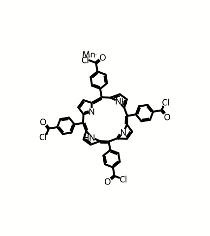 O=C(Cl)c1ccc(-c2c3nc(c(-c4ccc(C(=O)Cl)cc4)c4ccc([nH]4)c(-c4ccc(C(=O)Cl)cc4)c4nc(c(-c5ccc(C(=O)Cl)cc5)c5ccc2[nH]5)C=C4)C=C3)cc1.[Mn]